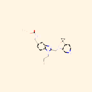 CC(C)CCn1c(CN2OC3(CC3)c3ccncc32)nc2cc(CNC(=O)OC(C)(C)C)ccc21